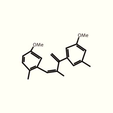 C=C(/C(C)=C\c1cc(OC)ccc1C)c1cc(C)cc(OC)c1